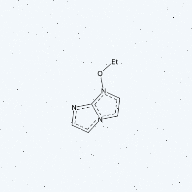 CCOn1ccn2ccnc12